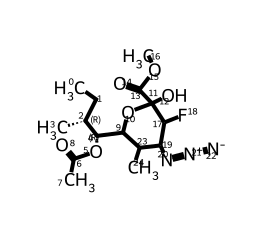 CC[C@@H](C)[C@@H](OC(C)=O)C1OC(O)(C(=O)OC)C(F)C(N=[N+]=[N-])C1C